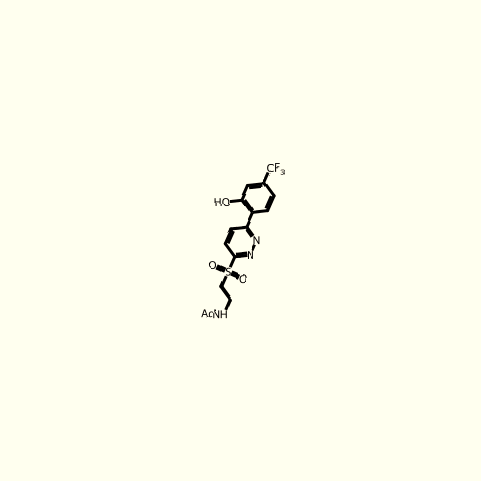 CC(=O)NCCS(=O)(=O)c1ccc(-c2ccc(C(F)(F)F)cc2O)nn1